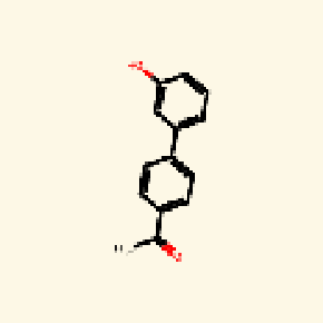 CC(=O)c1ccc(-c2cccc(O)c2)cc1